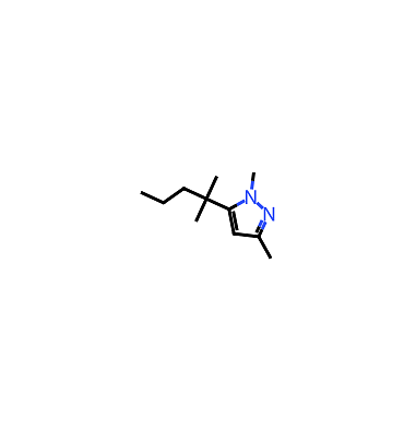 CCCC(C)(C)c1cc(C)nn1C